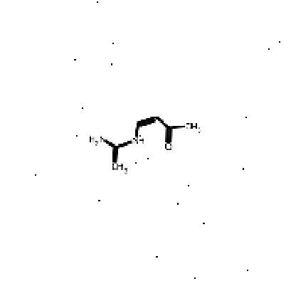 C=C(N)N/C=C\C(C)=O